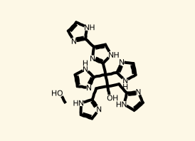 CO.OC(Cc1ncc[nH]1)(Cc1ncc[nH]1)C(c1ncc[nH]1)(c1ncc[nH]1)c1nc(-c2ncc[nH]2)c[nH]1